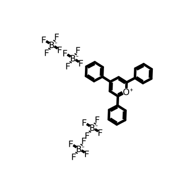 F[B-](F)(F)F.F[B-](F)(F)F.F[B-](F)(F)F.F[B-](F)(F)F.c1ccc(-c2cc(-c3ccccc3)[o+]c(-c3ccccc3)c2)cc1